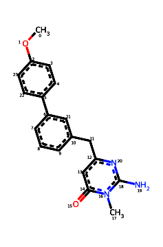 COc1ccc(-c2cccc(Cc3cc(=O)n(C)c(N)n3)c2)cc1